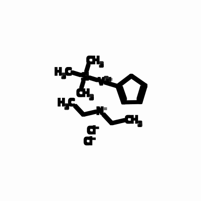 CC[N-]CC.C[Si](C)(C)[V+3][C]1=CC=CC1.[Cl-].[Cl-]